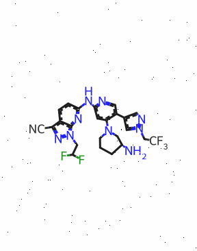 N#Cc1nn(CC(F)F)c2nc(Nc3cc(N4CCC[C@H](N)C4)c(-c4cnn(CC(F)(F)F)c4)cn3)ccc12